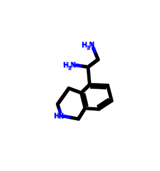 NCC(N)c1cccc2c1CCNC2